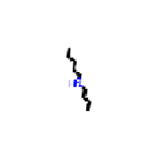 C=C/C=C/NCCCCC